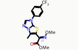 CO/N=C(/C(=O)OC)C1=C(C)N2N=CN(c3ccc(C(F)(F)F)cc3)C2S1